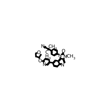 Cn1c(=O)n(-c2ccc(C(C)(C)C#N)cc2)c2c3cc(-c4ccc(OC5CCOC5)nc4)ccc3ncc21